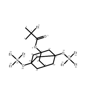 CCC(C)(C)C(=O)OC12CC3CC(O[Si](CC)(CC)CC)(C1)CC(O[Si](CC)(CC)CC)(C3)C2